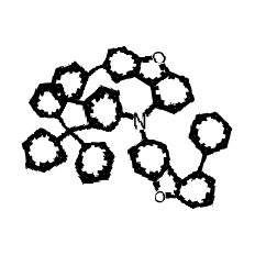 c1ccc(-c2ccc3oc4cccc(N(c5ccc6c(c5)C(c5ccccc5)(c5ccccc5)c5ccccc5-6)c5ccc6oc7cccc(-c8ccccc8)c7c6c5)c4c3c2)cc1